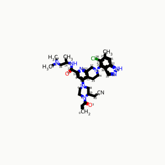 C=CC(=O)N1CCN(c2cc(C(=O)NC(C)CN(C)C)nc3c2CCN(c2c(Cl)c(C)cc4[nH]ncc24)C3)CC1CC#N